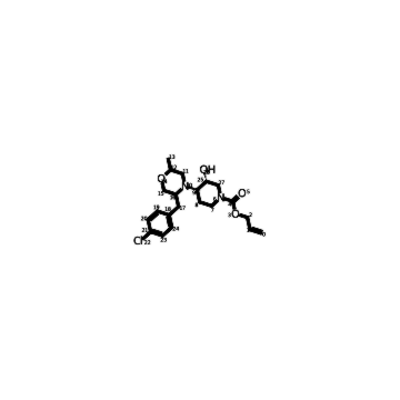 C=CCOC(=O)N1CC[C@@H](N2CC(C)OCC2Cc2ccc(Cl)cc2)[C@H](O)C1